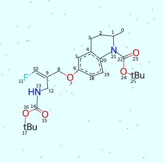 CC1CCc2cc(OC/C(=C/F)CNC(=O)OC(C)(C)C)ccc2N1C(=O)OC(C)(C)C